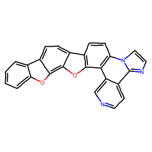 c1ccc2c(c1)oc1c2ccc2c3ccc4c(c5cnccc5c5nccn45)c3oc21